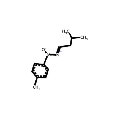 Cc1ccc([S+]([O-])/N=C/CC(C)C)cc1